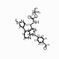 Cn1cc(-c2ccnc3c2c(CNC(=O)OC(C)(C)C)nn3-c2ccc(C=O)cc2)cn1